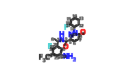 CC(NC(=O)c1ccc(=O)n(-c2ccccc2F)n1)c1cc(N)cc(C(F)(F)F)c1F